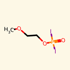 COCCOP(=O)(I)I